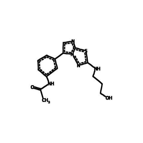 CC(=O)Nc1cccc(-c2cnc3sc(NCCCO)nn23)c1